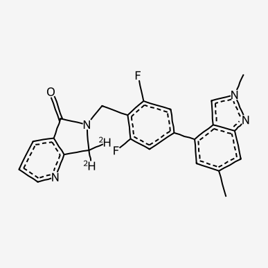 [2H]C1([2H])c2ncccc2C(=O)N1Cc1c(F)cc(-c2cc(C)cc3nn(C)cc23)cc1F